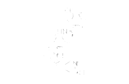 O=C(Nc1ccc(C2(NC(=O)c3ccc(Cl)nc3)CCC2)cc1)c1cccc(Cl)c1